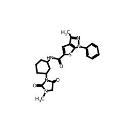 Cc1nn(-c2ccccc2)c2sc(C(=O)NC3CCCC(N4C(=O)CN(C)C4=O)C3)cc12